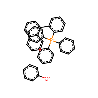 [O-]c1ccccc1.c1ccc([P+](c2ccccc2)(c2ccccc2)c2ccccc2-c2cccc3ccccc23)cc1